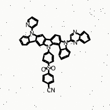 N#Cc1ccc(S(=O)(=O)c2ccc(-n3c4cc5c6ccccc6n(-c6ccccn6)c5cc4c4ccc5c(c6ccccc6n5-c5cnc6ccccc6n5)c43)cc2)cc1